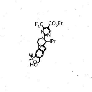 CCOC(=O)c1cnc(N2CCn3c(cc4cc(CO)c(S(C)(=O)=O)cc43)[C@@H]2C(C)C)nc1C(F)(F)F